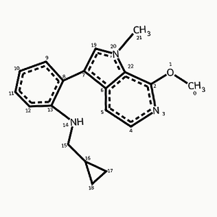 COc1nccc2c(-c3ccccc3NCC3CC3)cn(C)c12